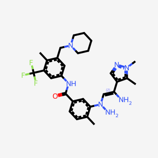 Cc1ccc(C(=O)Nc2cc(CN3CCCCC3)c(C)c(C(F)(F)F)c2)cc1N(N)/C=C(\N)c1cnn(C)c1C